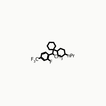 CCCC1CCC(C2(C(C)c3ccc(C(F)(F)F)cc3F)CCCCC2)CC1